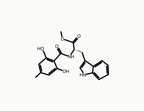 COC(=O)[C@H](Cc1c[nH]c2ccccc12)NC(=O)c1c(O)cc(C)cc1O